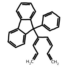 C=C/C=C\C(=C/C=C)C1(c2ccccc2)c2ccccc2-c2ccccc21